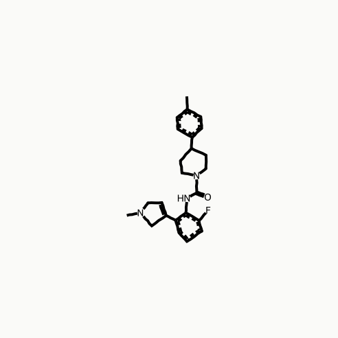 Cc1ccc(C2CCN(C(=O)Nc3c(F)cccc3C3=CCN(C)C3)CC2)cc1